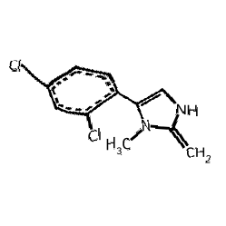 C=C1NC=C(c2ccc(Cl)cc2Cl)N1C